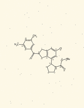 Cc1cc(C(=O)N2Cc3cc(Cl)cc(C4CCCN4C(=O)OC(C)(C)C)c3C2)cc(C)n1